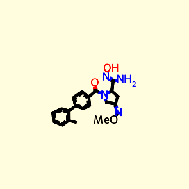 CON=C1CC(C(N)=NO)N(C(=O)c2ccc(-c3ccccc3C)cc2)C1